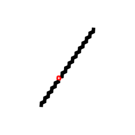 CCCCCCCCCCCCCCCCCCCCOCCCCCCCCCCC